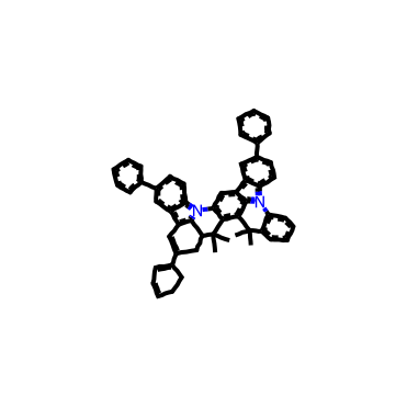 CC1(C)c2ccccc2-n2c3ccc(-c4ccccc4)cc3c3cc4c(c1c32)C(C)(C)C1CC(C2=CC=CCC2)=Cc2c1n-4c1ccc(-c3ccccc3)cc21